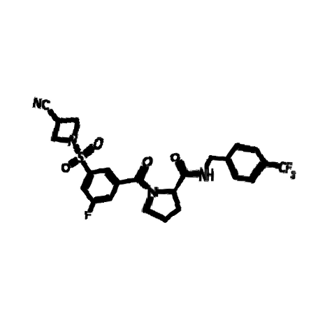 N#CC1CN(S(=O)(=O)c2cc(F)cc(C(=O)N3CCC[C@@H]3C(=O)NCc3ccc(C(F)(F)F)cc3)c2)C1